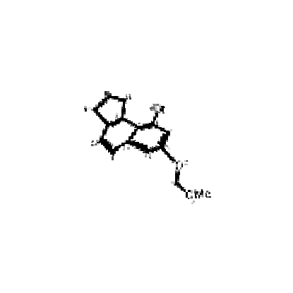 COCOc1cc(Br)c2c3c(ccc2c1)CCC3